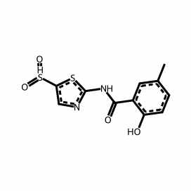 Cc1ccc(O)c(C(=O)Nc2ncc([SH](=O)=O)s2)c1